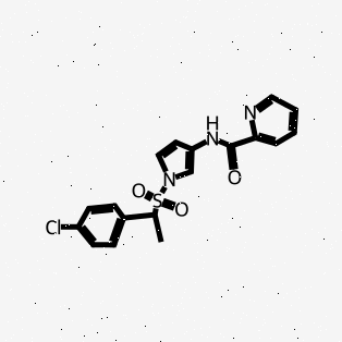 CC(c1ccc(Cl)cc1)S(=O)(=O)n1ccc(NC(=O)c2ccccn2)c1